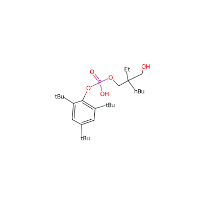 CCCCC(CC)(CO)COP(=O)(O)Oc1c(C(C)(C)C)cc(C(C)(C)C)cc1C(C)(C)C